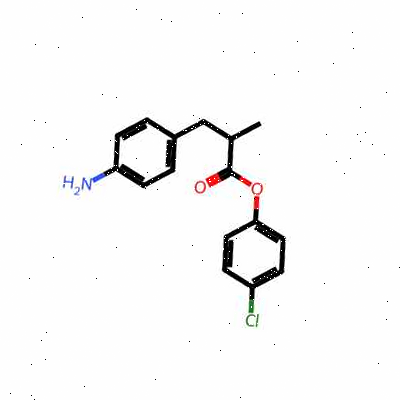 CC(Cc1ccc(N)cc1)C(=O)Oc1ccc(Cl)cc1